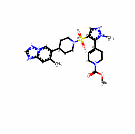 Cc1cc2ncnn2cc1C1CCN(S(=O)(=O)c2cnn(C)c2C2=CCN(C(=O)OC(C)(C)C)CC2)CC1